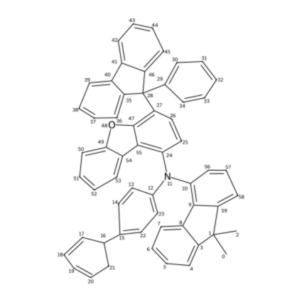 CC1(C)c2ccccc2-c2c(N(c3ccc(C4C=CC=CC4)cc3)c3ccc(C4(c5ccccc5)c5ccccc5-c5ccccc54)c4oc5ccccc5c34)cccc21